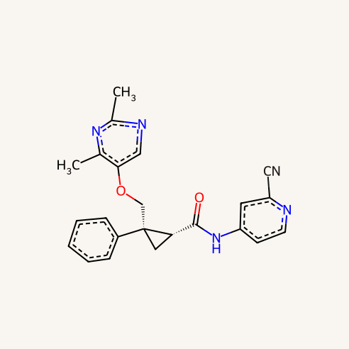 Cc1ncc(OC[C@@]2(c3ccccc3)C[C@H]2C(=O)Nc2ccnc(C#N)c2)c(C)n1